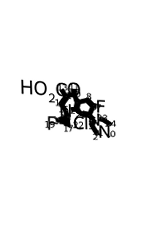 CN1CCN(c2c(F)cc3c(=O)c(C(=O)O)cn(C4CC4F)c3c2Cl)CC1